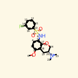 COc1ccc(NS(=O)(=O)c2cccc(F)c2)c2c1C[C@@H](N(C)C)CO2